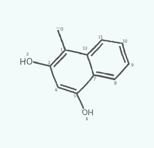 [CH]c1c(O)cc(O)c2ccccc12